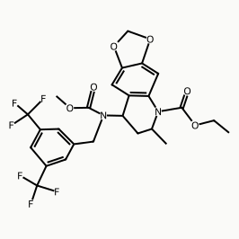 CCOC(=O)N1c2cc3c(cc2C(N(Cc2cc(C(F)(F)F)cc(C(F)(F)F)c2)C(=O)OC)CC1C)OCO3